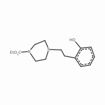 CCOC(=O)N1CCN(CCc2ccccc2O)CC1